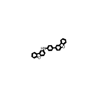 c1ccc2c(c1)oc1ccc(Nc3ccc(-c4ccc5oc6ccccc6c5c4)cc3)cc12